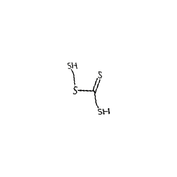 S=C(S)SS